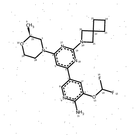 C[C@H]1CN(c2cc(-c3cnc(N)c(OC(F)F)c3)nc(N3CC4(CCC4)C3)n2)CCO1